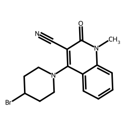 Cn1c(=O)c(C#N)c(N2CCC(Br)CC2)c2ccccc21